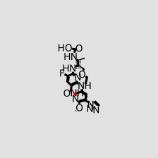 CCOC[C@@H](Nc1nc(Nc2cnc(OC)c(-n3ccnn3)c2)c(C(N)=O)cc1F)[C@H](C)NC(=O)O